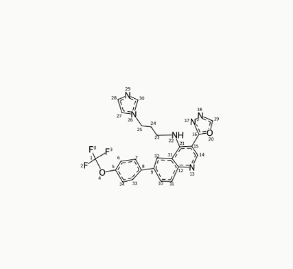 FC(F)(F)Oc1ccc(-c2ccc3ncc(-c4nnco4)c(NCCCn4ccnc4)c3c2)cc1